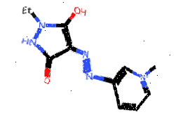 CCn1[nH]c(=O)c(/N=N/c2ccc[n+](C)c2)c1O